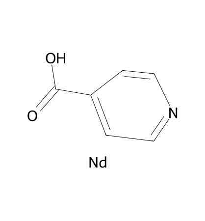 O=C(O)c1ccncc1.[Nd]